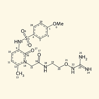 COc1ccc(S(=O)(=O)Nc2ccc(C)n(CC(=O)NCCONC(=N)N)c2=O)cc1